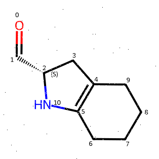 O=C[C@@H]1CC2=C(CCCC2)N1